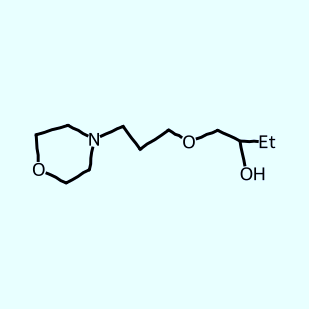 CCC(O)COCCCN1CCOCC1